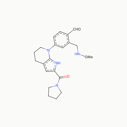 CONCc1cc(N2CCCc3cc(C(=O)N4CCCC4)[nH]c32)ccc1C=O